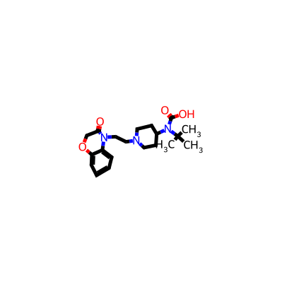 CC(C)(C)N(C(=O)O)C1CCN(CCN2C(=O)COc3ccccc32)CC1